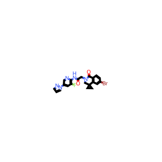 O=C(CN1CC2(CC2)c2cc(Br)ccc2C1=O)Nc1ncc(-n2cccn2)cc1F